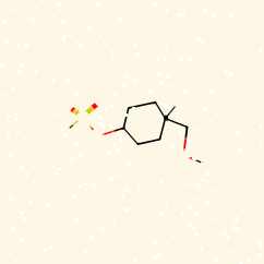 CCOCC1(CC)CCC(OS(=O)(=O)C(F)(F)F)CC1